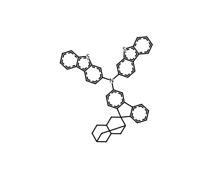 c1ccc2c(c1)-c1cc(N(c3ccc4c(c3)sc3ccccc34)c3ccc4c(c3)sc3ccccc34)ccc1C21CC2CCC3CC2CC1C3